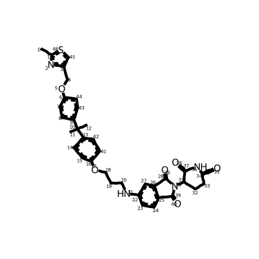 Cc1nc(COc2ccc(C(C)(C)c3ccc(OCCCNc4ccc5c(c4)C(=O)N(C4CCC(=O)NC4=O)C5=O)cc3)cc2)cs1